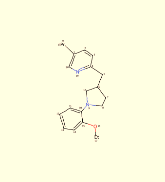 CCCc1ccc(CC2CCN(c3ccccc3OCC)C2)nc1